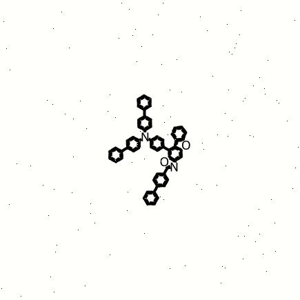 c1ccc(-c2ccc(-c3nc4cc5oc6ccccc6c5c(-c5ccc(N(c6ccc(-c7ccccc7)cc6)c6ccc(-c7ccccc7)cc6)cc5)c4o3)cc2)cc1